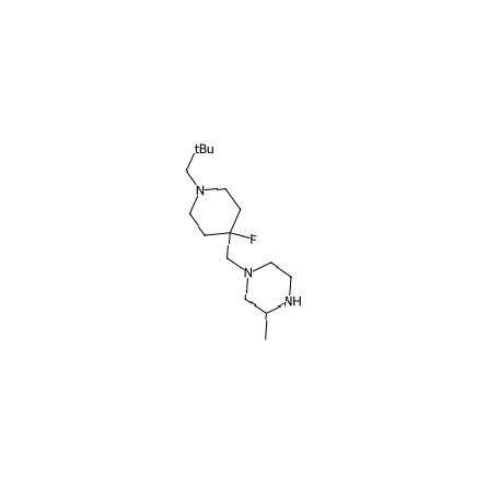 CC1CN(CC2(F)CCN(CC(C)(C)C)CC2)CCN1